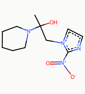 CC(O)(Cn1ccnc1[N+](=O)[O-])N1CCCCC1